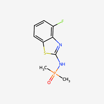 CP(C)(=O)Nc1nc2c(F)cccc2s1